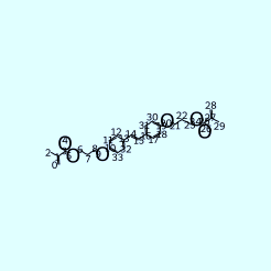 C=C(C)C(=O)OCCCOc1ccc(C=Cc2ccc(OCCCOC(=O)C(=C)C)cc2)cc1